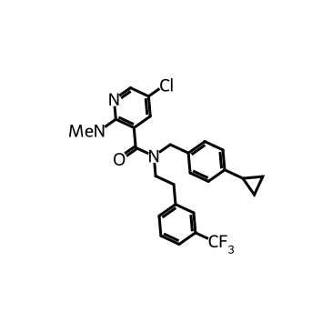 CNc1ncc(Cl)cc1C(=O)N(CCc1cccc(C(F)(F)F)c1)Cc1ccc(C2CC2)cc1